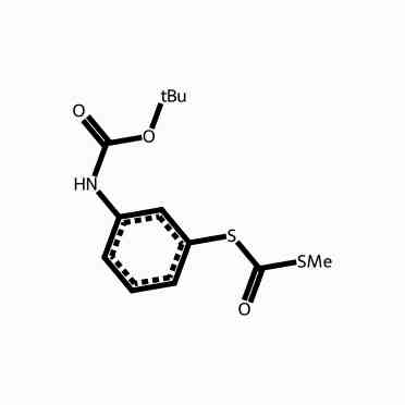 CSC(=O)Sc1cccc(NC(=O)OC(C)(C)C)c1